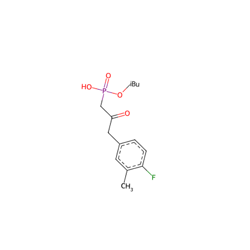 CCC(C)OP(=O)(O)CC(=O)Cc1ccc(F)c(C)c1